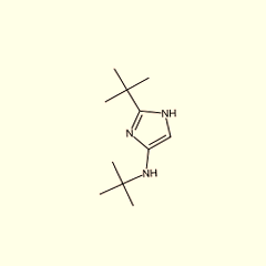 CC(C)(C)Nc1c[nH]c(C(C)(C)C)n1